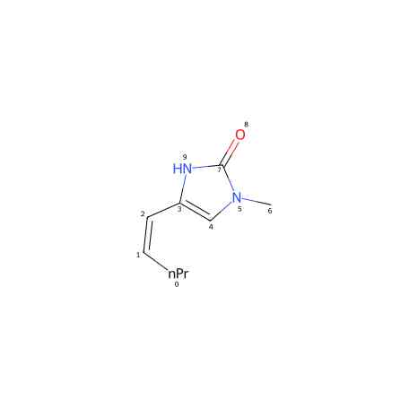 CCC/C=C\c1cn(C)c(=O)[nH]1